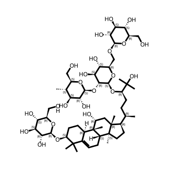 C[C@H]1[C@H](O)[C@@H](O)[C@H](O[C@H]2[C@H](O[C@H](CC[C@@H](C)[C@H]3CC[C@@]4(C)[C@@H]5CC=C6[C@@H](CC[C@H](O[C@@H]7O[C@H](CO)[C@@H](O)[C@H](O)[C@H]7O)C6(C)C)[C@]5(C)[C@H](O)C[C@]34C)C(C)(C)O)O[C@H](CO[C@@H]3O[C@H](CO)[C@@H](O)[C@H](O)[C@H]3O)[C@@H](O)[C@@H]2O)O[C@@H]1CO